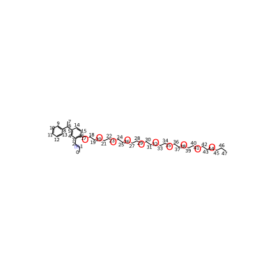 C/C=C/c1cc(C(C)c2ccccc2)ccc1OCCOCCOCCOCCOCCOCCOCCOCCOCCOCCC